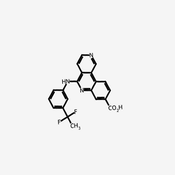 CC(F)(F)c1cccc(Nc2nc3cc(C(=O)O)ccc3c3cnccc23)c1